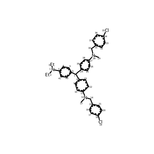 CCN(CC)c1ccc(C(c2ccc(N(C)Cc3ccc(Cl)cc3)cc2)c2ccc(N(C)Cc3ccc(Cl)cc3)cc2)cc1